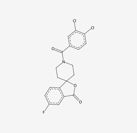 O=C1OC2(CCN(C(=O)c3ccc(Cl)c(Cl)c3)CC2)c2ccc(F)cc21